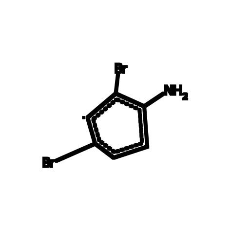 Nc1ccc(Br)[c]c1Br